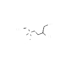 CO[Si](C)(CCC(C)CN)OC